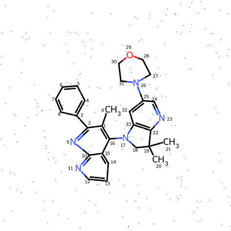 Cc1c(-c2ccccc2)nc2ncccc2c1N1CC(C)(C)c2ncc(N3CCOCC3)cc21